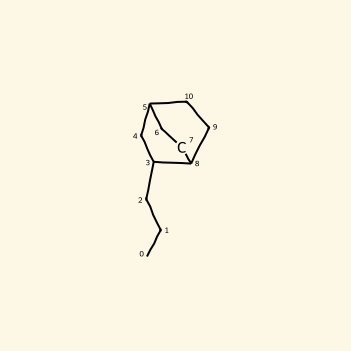 CCCC1CC2CCC1CC2